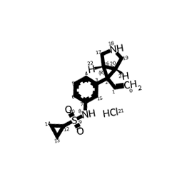 C=CC1(c2cccc(NS(=O)(=O)C3CC3)c2)[C@@H]2CNC[C@@H]21.Cl